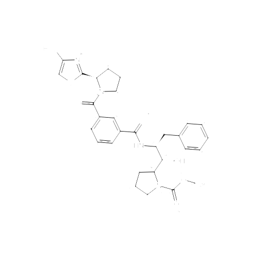 Cc1coc([C@H]2CCCN2C(=O)c2cccc(C(=O)N[C@@H](Cc3ccccc3)[C@H](O)C3CCCN3C(=O)OC(C)(C)C)c2)n1